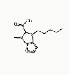 CCCCCN1c2ccoc2N(C)C1C(=O)O